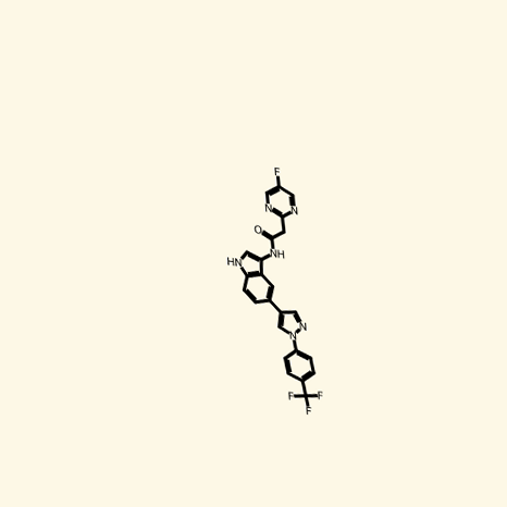 O=C(Cc1ncc(F)cn1)Nc1c[nH]c2ccc(-c3cnn(-c4ccc(C(F)(F)F)cc4)c3)cc12